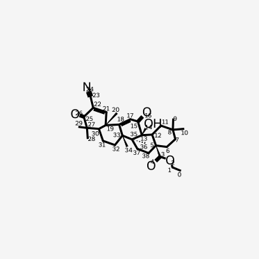 CCOC(=O)[C@]12CCC(C)(C)CC1[C@@]1(O)C(=O)C=C3[C@@]4(C)C=C(C#N)C(=O)C(C)(C)C4CC[C@@]3(C)[C@]1(C)CC2